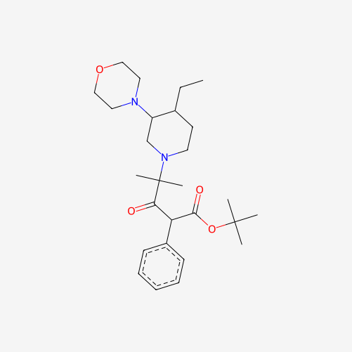 CCC1CCN(C(C)(C)C(=O)C(C(=O)OC(C)(C)C)c2ccccc2)CC1N1CCOCC1